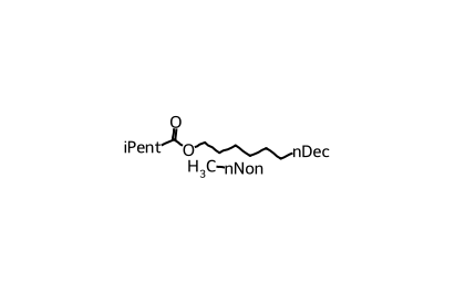 CCCCCCCCCC.CCCCCCCCCCCCCCCCOC(=O)C(C)CCC